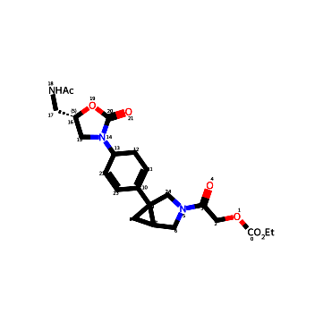 CCOC(=O)OCC(=O)N1CC2CC2(C2=CCC(N3C[C@H](CNC(C)=O)OC3=O)C=C2)C1